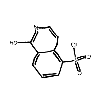 O=S(=O)(Cl)c1cccc2c(O)nccc12